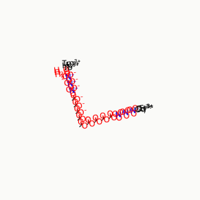 CC(=O)[O-].CC(=O)[O-].CC(=O)[O-].CC(=O)[O-].CC(=O)[O-].CC(=O)[O-].CC(=O)[O-].CC(=O)[O-].CC(=O)[O-].O.O.O.O=[N+]([O-])[O-].O=[N+]([O-])[O-].O=[N+]([O-])[O-].O=[N+]([O-])[O-].O=[N+]([O-])[O-].O=[N+]([O-])[O-].[Dy+3].[Er+3].[Gd+3].[Ho+3].[Tb+3].[Tm+3]